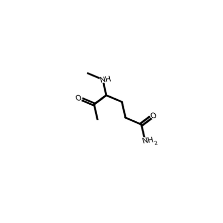 CNC(CCC(N)=O)C(C)=O